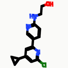 OCCNc1ccc(-c2cc(C3CC3)cc(Cl)n2)cn1